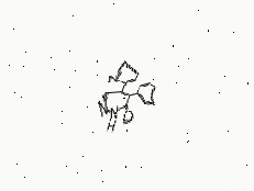 O=c1[nH]ncc(-c2ccccn2)c1-c1ccccc1